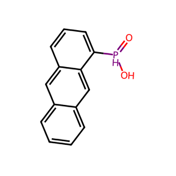 O=[PH](O)c1cccc2cc3ccccc3cc12